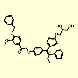 CC/C(=C(\c1ccc(OCC(=O)c2ccc(OCc3ccccc3)c(OC)c2)cc1)c1ccc(OCC(O)CO)cc1)c1ccccc1